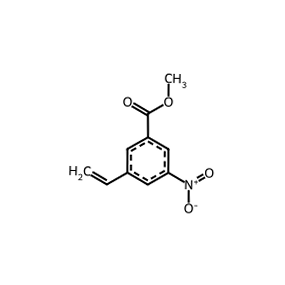 C=Cc1cc(C(=O)OC)cc([N+](=O)[O-])c1